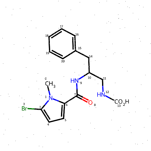 Cn1c(Br)ccc1C(=O)NC(CNC(=O)O)Cc1ccccc1